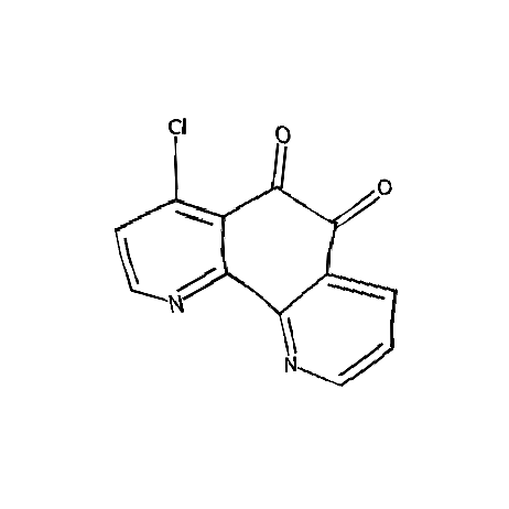 O=C1C(=O)c2c(Cl)ccnc2-c2ncccc21